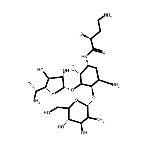 C[C@@H](N)[C@H]1O[C@@H](OC2[C@H](O[C@H]3OC(CO)[C@@H](O)[C@H](O)C3N)C(N)C[C@@H](NC(=O)[C@@H](O)CCN)[C@H]2O)[C@@H](O)C1O